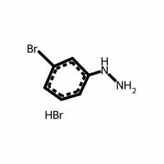 Br.NNc1cccc(Br)c1